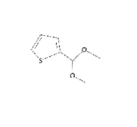 CO[C](OC)c1cccs1